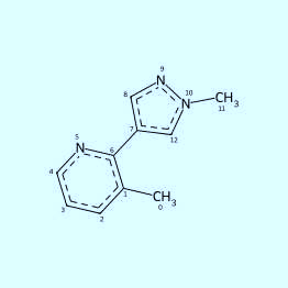 Cc1cccnc1-c1cnn(C)c1